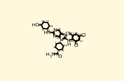 NC(=O)[C@H]1CC[C@H](n2c(Nc3c(Cl)cc(Cl)cc3Cl)nc3cnc(N[C@H]4CCC[C@H](O)C4)nc32)CC1